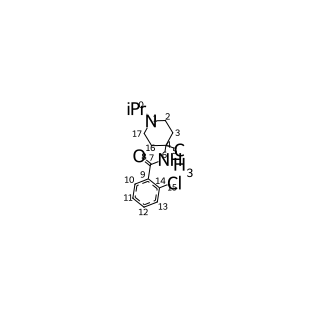 CC(C)N1CCC(C)(NC(=O)c2ccccc2Cl)CC1